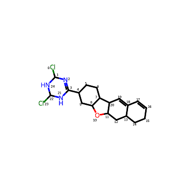 ClC1N=C(C2CCC3C(C2)OC2CC4CCC=CC4=CC23)NC(Cl)N1